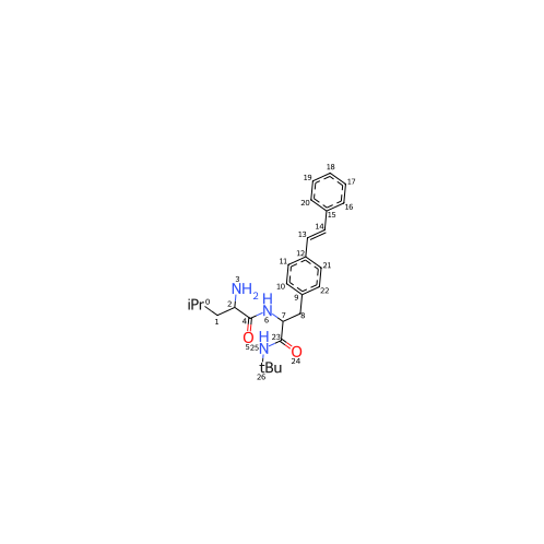 CC(C)CC(N)C(=O)NC(Cc1ccc(C=Cc2ccccc2)cc1)C(=O)NC(C)(C)C